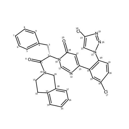 O=C([C@H](Cc1ccccc1)n1cnc(-c2cc(Cl)ccc2-n2cc(Cl)nn2)cc1=O)N1CCc2ccccc2C1